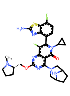 CN1CCC[C@H]1COc1nc(N2CC3CCC(C2)N3)c2c(=O)n(C3CC3)c(-c3ccc(F)c4sc(N)nc34)c(F)c2n1